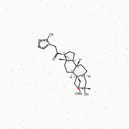 COCC[C@]12CC[C@@](C)(O)C[C@@H]1CC[C@H]1[C@@H]3CC[C@H](C(=O)Cn4ccnc4C#N)[C@@]3(C)CC[C@@H]12